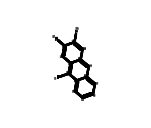 Fc1[c]c2c(F)c3cc[c]cc3cc2cc1F